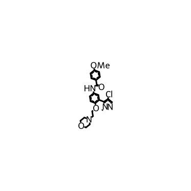 COc1ccc(C(=O)Nc2ccc(OCCN3CCOCC3)c(-c3c(Cl)cnn3C)c2)cc1